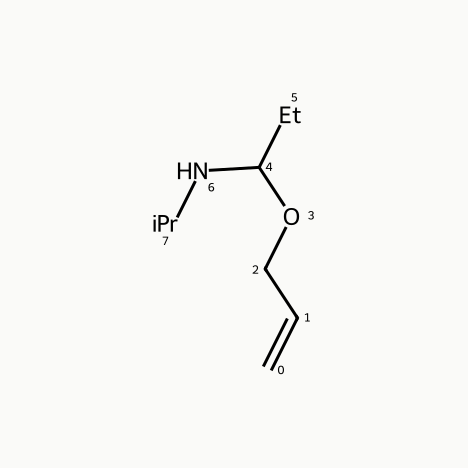 C=CCOC(CC)NC(C)C